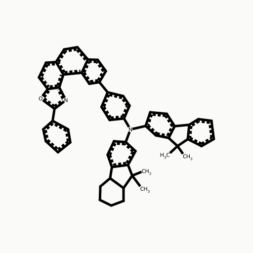 CC1(C)c2ccccc2-c2ccc(N(c3ccc(-c4ccc5ccc6ccc7oc(-c8ccccc8)nc7c6c5c4)cc3)c3ccc4c(c3)C(C)(C)C3CCCCC43)cc21